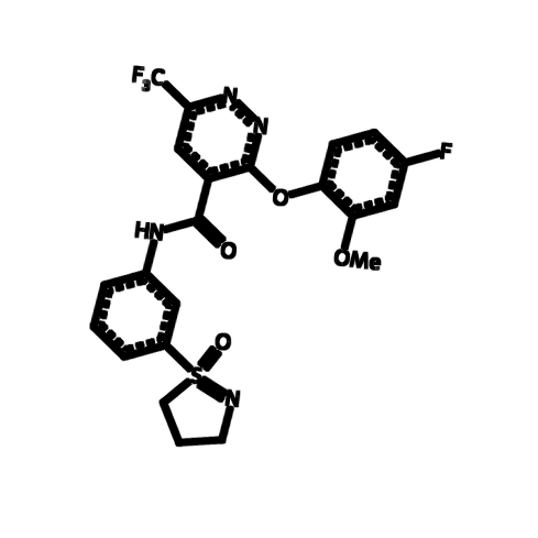 COc1cc(F)ccc1Oc1nnc(C(F)(F)F)cc1C(=O)Nc1cccc(S2(=O)=NCCC2)c1